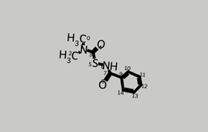 CN(C)C(=O)SNC(=O)c1ccccc1